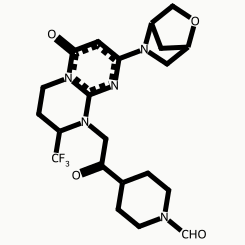 O=CN1CCC(C(=O)CN2c3nc(N4CC5CC4CO5)cc(=O)n3CCC2C(F)(F)F)CC1